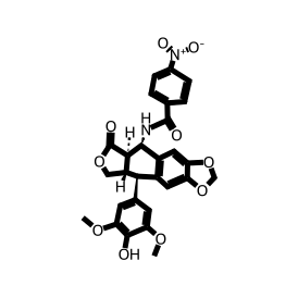 COc1cc([C@@H]2c3cc4c(cc3[C@@H](NC(=O)c3ccc([N+](=O)[O-])cc3)[C@@H]3C(=O)OC[C@@H]23)OCO4)cc(OC)c1O